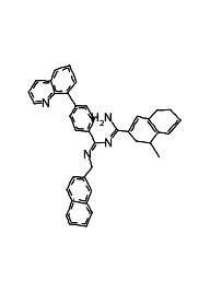 CC1CC(/C(N)=N/C(=N\Cc2ccc3ccccc3c2)c2ccc(-c3cccc4cccnc34)cc2)=CC2=C1C=CCC2